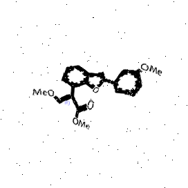 CO/C=C(/C(=O)OC)c1cccc2cc(-c3cccc(OC)c3)oc12